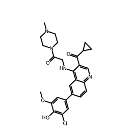 COc1cc(-c2ccc3ncc(C(=O)C4CC4)c(NCC(=O)N4CCN(C)CC4)c3c2)cc(Cl)c1O